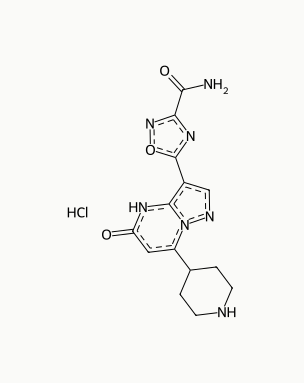 Cl.NC(=O)c1noc(-c2cnn3c(C4CCNCC4)cc(=O)[nH]c23)n1